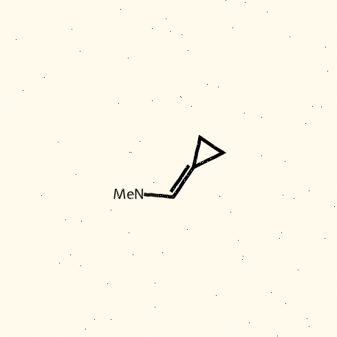 CNC=C1CC1